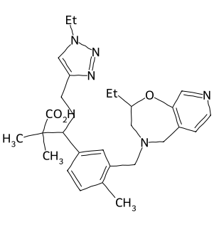 CCC1CN(Cc2cc(C(CCc3cn(CC)nn3)C(C)(C)C(=O)O)ccc2C)Cc2ccncc2O1